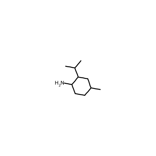 CC1CCC(N)C(C(C)C)C1